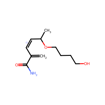 C=C(/C=C\C(C)OCCCCO)C(N)=O